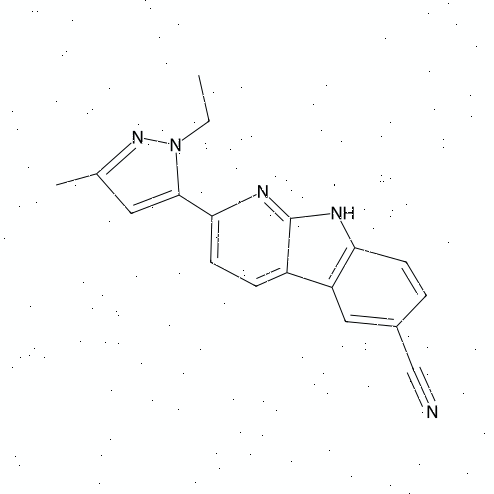 CCn1nc(C)cc1-c1ccc2c(n1)[nH]c1ccc(C#N)cc12